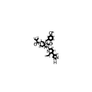 CCc1nc(N2CC3(CCN(C(=O)C(C)C)CC3)N(Cc3cccc(OC)c3)C2=O)ccc1-c1cn[nH]c1